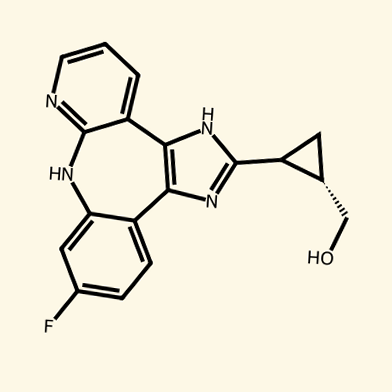 OC[C@H]1CC1c1nc2c([nH]1)-c1cccnc1Nc1cc(F)ccc1-2